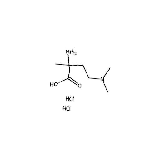 CN(C)CCC(C)(N)C(=O)O.Cl.Cl